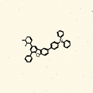 CC1CC=CC(c2cc(-c3ccccc3)c3oc4ccc(-c5ccc(N(c6ccccc6)c6ccccc6)cc5)cc4c3c2)C1C